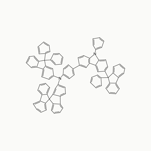 c1ccc(-n2c3ccc(-c4ccc(N(c5ccc6c(c5)C(c5ccccc5)(c5ccccc5)c5ccccc5-6)c5ccc6c(c5)C5(c7ccccc7-c7ccccc75)c5ccccc5-6)cc4)cc3c3cc(C4(c5ccccc5)c5ccccc5-c5ccccc54)ccc32)cc1